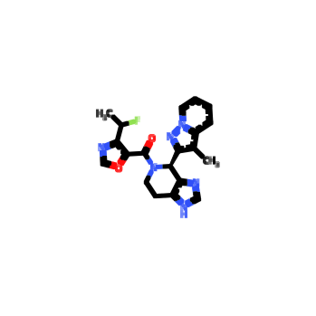 Cc1c([C@H]2c3nc[nH]c3CCN2C(=O)c2ocnc2C(C)F)nn2ccccc12